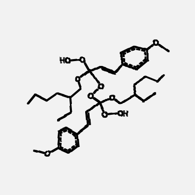 CCCCC(CC)COC(C=Cc1ccc(OC)cc1)(OO)OOC(C=Cc1ccc(OC)cc1)(OO)OCC(CC)CCCC